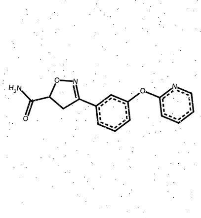 NC(=O)C1CC(c2cccc(Oc3ccccn3)c2)=NO1